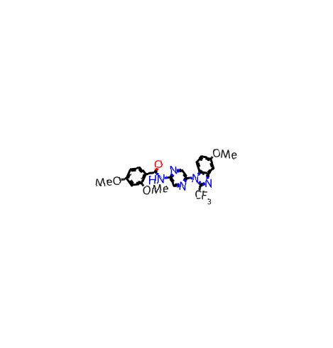 COc1ccc(C(=O)Nc2cnc(-n3c(C(F)(F)F)nc4cc(OC)ccc43)cn2)c(OC)c1